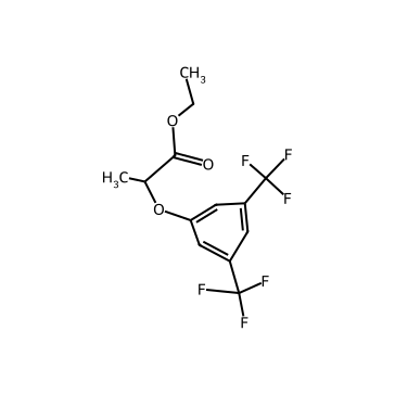 CCOC(=O)C(C)Oc1cc(C(F)(F)F)cc(C(F)(F)F)c1